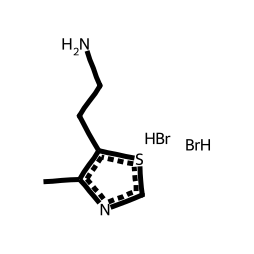 Br.Br.Cc1ncsc1CCN